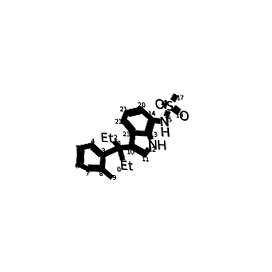 CCC(CC)(c1ccccc1C)c1c[nH]c2c(NS(C)(=O)=O)cccc12